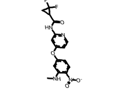 CNc1cc(Oc2ccnc(NC(=O)C3CC3(F)F)c2)ccc1[N+](=O)[O-]